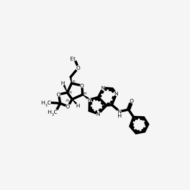 CCOC[C@H]1O[C@@H](n2cnc3c(NC(=O)c4ccccc4)ncnc32)[C@@H]2OC(C)(C)O[C@@H]21